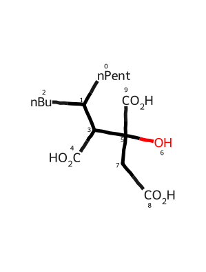 CCCCCC(CCCC)C(C(=O)O)C(O)(CC(=O)O)C(=O)O